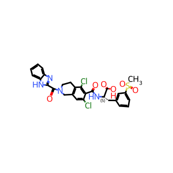 CS(=O)(=O)c1cccc(C[C@H](NC(=O)c2c(Cl)cc3c(c2Cl)CCN(C(=O)c2nc4ccccc4[nH]2)C3)C(=O)O)c1